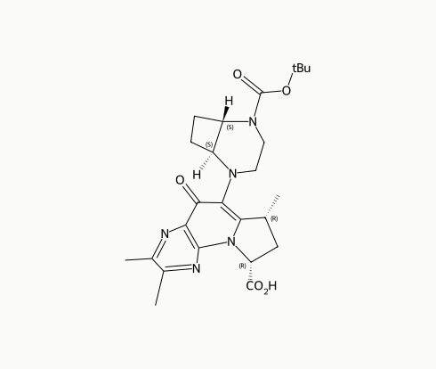 Cc1nc2c(=O)c(N3CCN(C(=O)OC(C)(C)C)[C@H]4CC[C@@H]43)c3n(c2nc1C)[C@@H](C(=O)O)C[C@H]3C